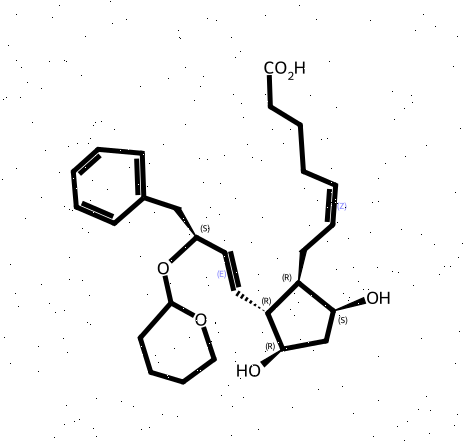 O=C(O)CCC/C=C\C[C@@H]1[C@@H](/C=C/[C@H](Cc2ccccc2)OC2CCCCO2)[C@H](O)C[C@@H]1O